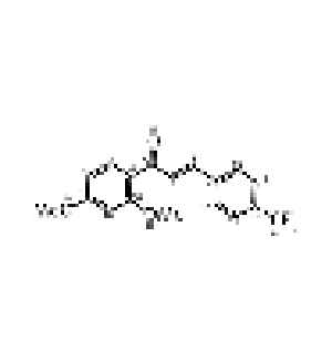 COc1ccc(C(=O)C=Cc2ccc(C(F)(F)F)cc2)c(OC)c1